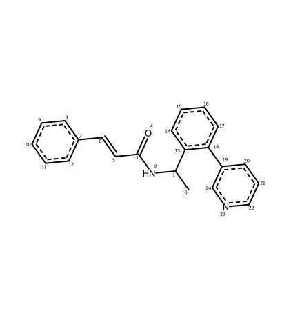 CC(NC(=O)C=Cc1ccccc1)c1ccccc1-c1cccnc1